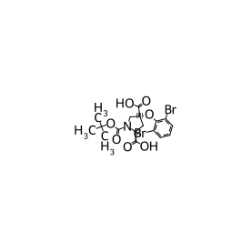 CC(C)(C)OC(=O)N1C[C@@](Oc2c(Br)cccc2Br)(C(=O)O)C[C@H]1C(=O)O